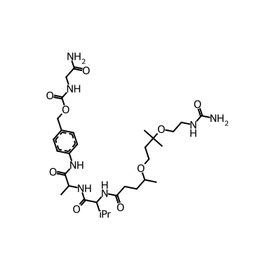 CC(CCC(=O)NC(C(=O)NC(C)C(=O)Nc1ccc(COC(=O)NCC(N)=O)cc1)C(C)C)OCCC(C)(C)OCCNC(N)=O